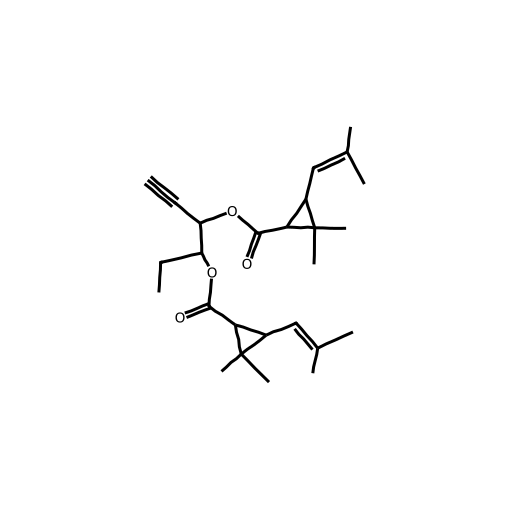 C#CC(OC(=O)C1C(C=C(C)C)C1(C)C)C(CC)OC(=O)C1C(C=C(C)C)C1(C)C